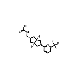 O=C(O)NC[C@@H]1C[C@@H]2CN(c3cccc(C(F)(F)F)n3)C[C@@H]2C1